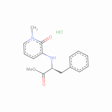 COC(=O)[C@H](Cc1ccccc1)Nc1cccn(C)c1=O.Cl